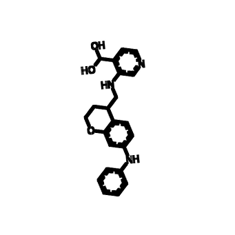 OC(O)c1ccncc1NCC1CCOc2cc(Nc3ccccc3)ccc21